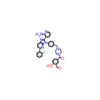 Nc1ncccc1-c1nc2ccc(-c3ccccc3F)nc2n1-c1ccc(CN2CCN(C(=O)c3ccc(O)c(C=O)c3)CC2)cc1